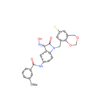 COc1cccc(C(=O)Nc2ccc3c(c2)/C(=N/O)C(=O)N3Cc2cc(F)cc3c2OCOC3)c1